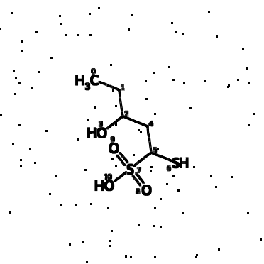 CCC(O)CC(S)S(=O)(=O)O